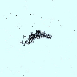 COc1ccc(CN(c2cc3oc(-c4ccc(OCc5ccccc5)cc4)c(-c4ncc[nH]4)c3cc2C2CC2)S(C)(=O)=O)cc1